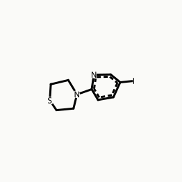 Ic1ccc(N2CCSCC2)nc1